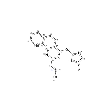 Cc1cnc(Sc2cc(/C=N/O)nc3c2ccc2cccnc23)s1